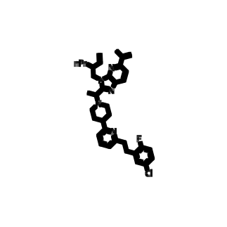 C=CC(CCC)CN1C(C(C)N2CCC(c3cccc(CCc4cc(Cl)ccc4F)n3)CC2)=NC2C=CC(C(=C)C)=NC21